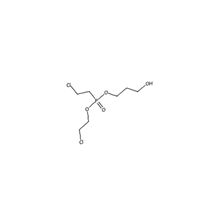 O=P(CCCl)(OCCCl)OCCCO